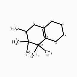 CC(=O)C1(C)C(C)CC2=C(CCCC2)C1(C)C